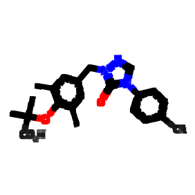 Cc1cc(Cn2ncn(-c3ccc(C#N)cc3)c2=O)cc(C)c1OC(C)(C)C(=O)O